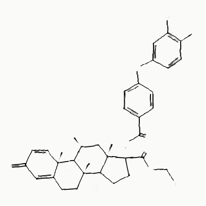 C[C@]12C=CC(=O)C=C1CC[C@H]1[C@@H]3CC[C@](OC(=O)c4ccc(Sc5ccc(Cl)c(O)c5)cc4)(C(=O)SCF)[C@@]3(C)C[C@H](O)[C@@]12F